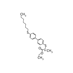 CCCCCCCSc1ccc(-c2ccc(S[C@H](C)C(=O)OCC)cc2)cc1